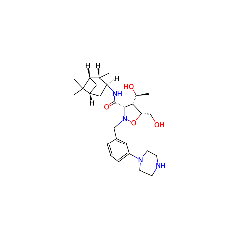 C[C@@H]1[C@@H](NC(=O)[C@@H]2[C@H]([C@H](C)O)[C@H](CO)ON2Cc2cccc(N3CCNCC3)c2)C[C@H]2C[C@@H]1C2(C)C